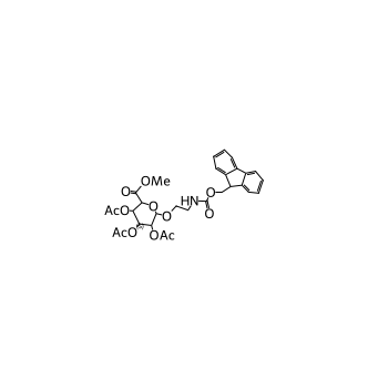 COC(=O)C1OC(OCCNC(=O)OCC2c3ccccc3-c3ccccc32)C(OC(C)=O)[C@@H](OC(C)=O)C1OC(C)=O